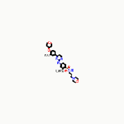 COc1cc(Nc2nccc(-c3ccc(OC4CCOCC4)c(C#N)c3)n2)ccc1S(=O)(=O)NCCCN1CCOCC1